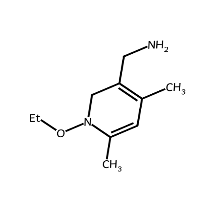 CCON1CC(CN)=C(C)C=C1C